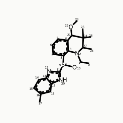 CCN1c2c(cccc2[S+]([O-])c2nc3ccc(C)cc3[nH]2)C(OC)C(C)(C)C1C